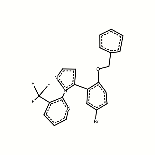 FC(F)(F)c1cccnc1-n1nccc1-c1cc(Br)ccc1OCc1ccccc1